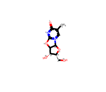 Cc1cn2c(nc1=O)OC1C2O[C@H](CO)[C@@H]1O